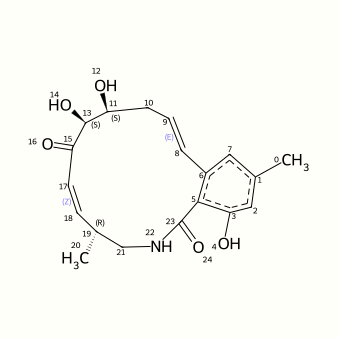 Cc1cc(O)c2c(c1)/C=C/C[C@H](O)[C@H](O)C(=O)/C=C\[C@@H](C)CNC2=O